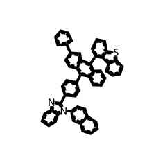 c1ccc(-c2ccc3c(-c4ccc(-c5nc6ccccc6n5-c5ccc6ccccc6c5)cc4)c4ccccc4c(-c4cccc5sc6ccccc6c45)c3c2)cc1